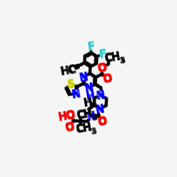 C#Cc1cc(F)c(F)cc1C1N=C(c2nccs2)NC(CN2CCN3C(=O)N(CC(C)(C)C(=O)O)C[C@@H]3C2)=C1C(=O)OCC